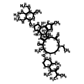 CC[C@H]1CCC[C@H](O[C@H]2CC[C@H](N(C)C(=O)C(C)C)C(C)O2)[C@@H](C)C(=O)C2=C[C@H]3[C@@H]4C[C@H](O[C@@H]5OC(C)[C@H](OC)C(OC)C5OC)C[C@H]4c4sc(C)nc4[C@H]3[C@@H]2CC(=O)O1